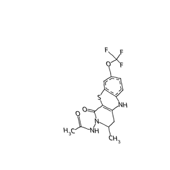 CC(=O)NN1C(=O)C2=C(CC1C)Nc1ccc(OC(F)(F)F)cc1S2